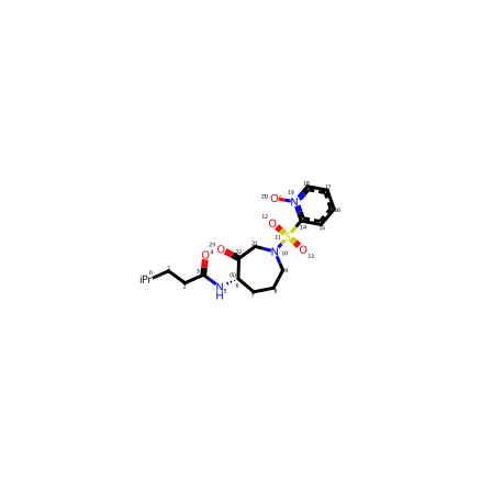 CC(C)C[CH]C(=O)N[C@H]1CCCN(S(=O)(=O)c2cccc[n+]2[O-])CC1=O